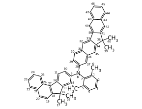 Cc1cccc(C)c1N(c1ccc2c(c1)C(C)(C)c1ccc3ccccc3c1-2)c1ccc2cc3c(cc2c1)C(C)(C)c1cc2ccccc2cc1-3